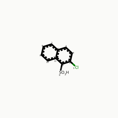 O=S(=O)(O)c1c(Cl)ccc2ccccc12